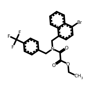 CCOC(=O)C(=O)N(Cc1ccc(C(F)(F)F)cc1)Cc1ccc(Br)c2ccccc12